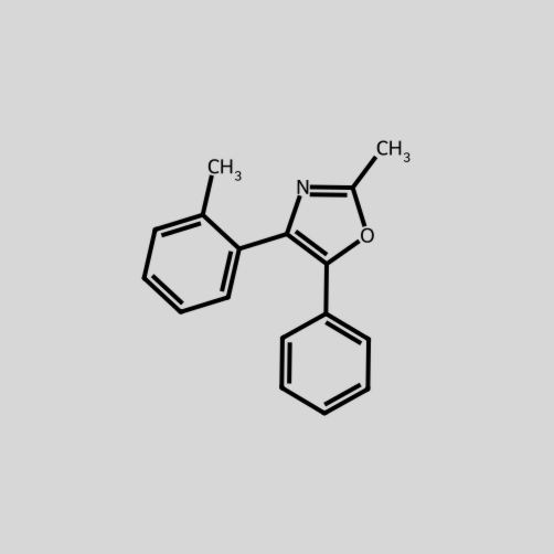 Cc1nc(-c2ccccc2C)c(-c2ccccc2)o1